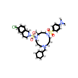 C[C@H]1CCN(S(=O)(=O)c2ccc(N(C)C)cc2)CCCN(CC2CCCCC2)CCCN1S(=O)(=O)N1CCc2cc(Cl)ccc2C1